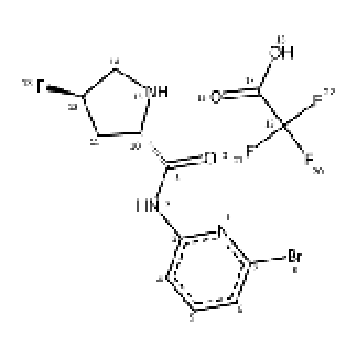 O=C(Nc1cccc(Br)n1)[C@@H]1C[C@@H](F)CN1.O=C(O)C(F)(F)F